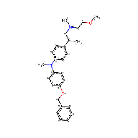 COCCN(C)CC(C)c1ccc(N(C)c2ccc(OCc3ccccc3)cc2)cc1